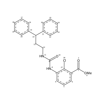 COC(=O)c1cccc(NC(=O)NCCC(c2ccccc2)c2ccccc2)c1Cl